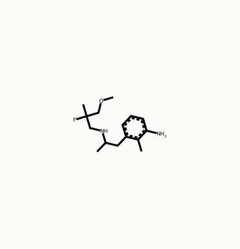 COCC(C)(F)CNC(C)Cc1cccc(N)c1C